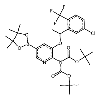 CC(Oc1cc(B2OC(C)(C)C(C)(C)O2)cnc1N(C(=O)OC(C)(C)C)C(=O)OC(C)(C)C)c1cc(Cl)ccc1C(F)(F)F